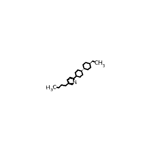 CCCCc1ccc(C2CCC([C@H]3CC[C@H](CC)CC3)CC2)nc1